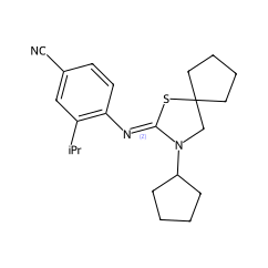 CC(C)c1cc(C#N)ccc1/N=C1\SC2(CCCC2)CN1C1CCCC1